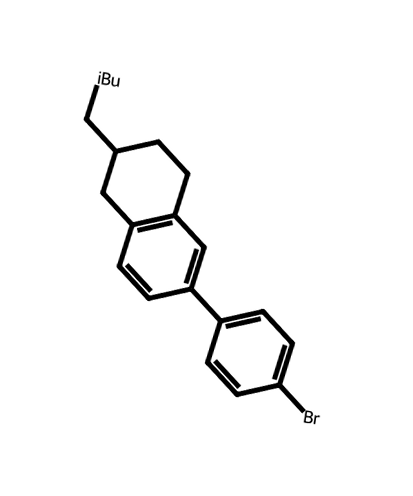 CCC(C)CC1CCc2cc(-c3ccc(Br)cc3)ccc2C1